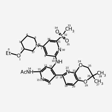 CCOC1CCCN(c2cc(Nc3cc(NC(C)=O)ncc3-c3ccc4c(n3)OCC(C)(C)O4)nc(S(C)(=O)=O)c2)C1